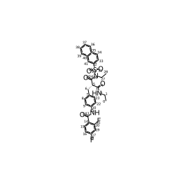 CCNC(=O)[C@H](Cc1ccc(NC(=O)c2ccc(F)cc2F)cc1)C(=O)N(CC)S(=O)(=O)c1ccc2ccccc2c1